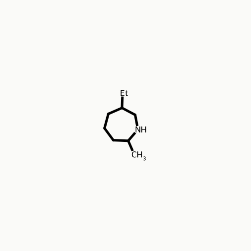 CCC1CCCC(C)NC1